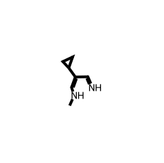 CN/C=C(\C=N)C1CC1